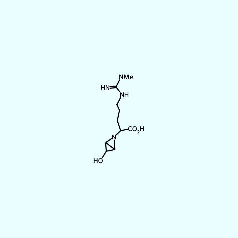 CNC(=N)NCCCC(C(=O)O)N1C2C(O)C21